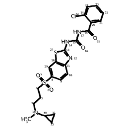 CN(CCCS(=O)(=O)c1ccc2nc(NC(=O)NC(=O)c3ccccc3Cl)sc2c1)C1CC1